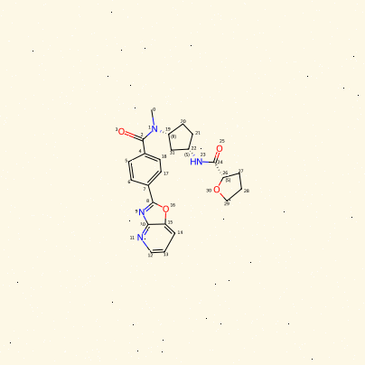 CN(C(=O)c1ccc(-c2nc3ncccc3o2)cc1)[C@@H]1CC[C@H](NC(=O)[C@@H]2CCCO2)C1